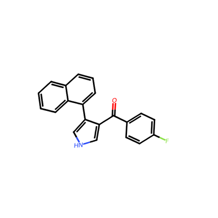 O=C(c1ccc(F)cc1)c1c[nH]cc1-c1cccc2ccccc12